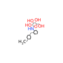 CCc1ccc(Cc2ccccc2N[C@@H]2OC(CO)[C@@H](O)[C@H](O)[C@H]2O)cc1